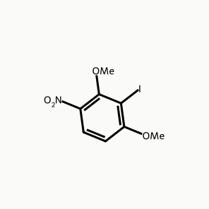 COc1ccc([N+](=O)[O-])c(OC)c1I